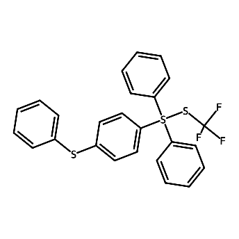 FC(F)(F)SS(c1ccccc1)(c1ccccc1)c1ccc(Sc2ccccc2)cc1